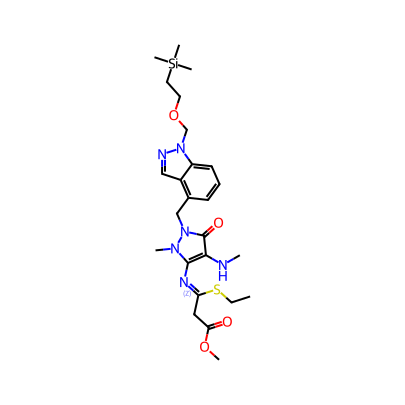 CCS/C(CC(=O)OC)=N\c1c(NC)c(=O)n(Cc2cccc3c2cnn3COCC[Si](C)(C)C)n1C